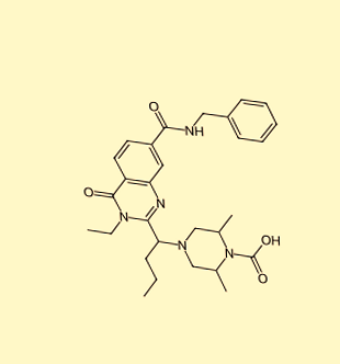 CCCC(c1nc2cc(C(=O)NCc3ccccc3)ccc2c(=O)n1CC)N1CC(C)N(C(=O)O)C(C)C1